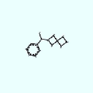 CC(c1ccccc1)C1CC2(CCC2)C1